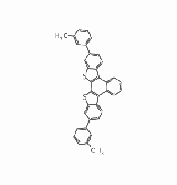 Cc1cccc(-c2ccc3c(c2)sc2c4sc5cc(-c6cccc(C)c6)ccc5c4c4ccccc4c32)c1